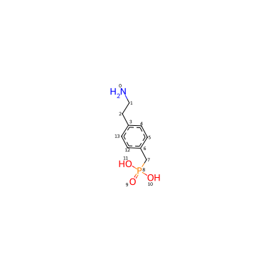 NCCc1ccc(CP(=O)(O)O)cc1